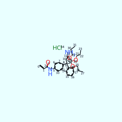 C=CC(=O)Nc1ccc(C(CCN)(c2ccccc2)[Si](OCCC)(OCCC)OCCC)cc1.Cl